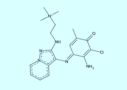 CC1=CC(=Nc2c(NCC[N+](C)(C)C)nn3ccccc23)C(N)=C(Cl)C1=O